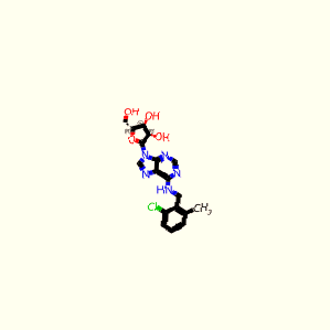 Cc1cccc(Cl)c1CNc1ncnc2c1ncn2C1O[C@H](CO)[C@@H](O)[C@H]1O